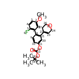 COc1ccc(F)c(-c2ccc(OC(=O)OC(C)(C)C)cc2C2=CCOCC2)c1